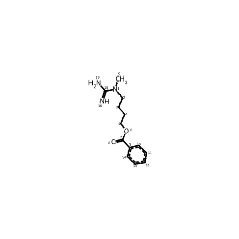 CN(CCCCOC(=O)c1ccccc1)C(=N)N